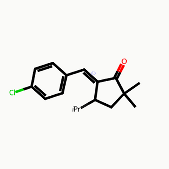 CC(C)C1CC(C)(C)C(=O)/C1=C/c1ccc(Cl)cc1